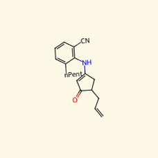 C=CCC1CC(Nc2c(C#N)cccc2CCCCC)=CC1=O